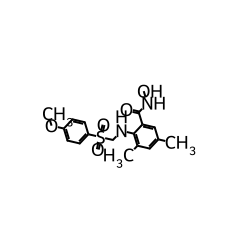 COc1ccc(S(=O)(=O)CNc2c(C)cc(C)cc2C(=O)NO)cc1